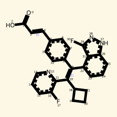 O=C(O)/C=C/c1ccc(/C(=C(\c2ncccc2F)C2CCC2)c2cccc3[nH]nc(F)c23)cc1